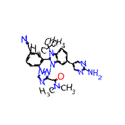 CN(C)C(=O)c1ncn(-c2ccc(C#N)cc2-c2nc3cc(-c4cnc(N)nc4)ccc3n2C(C)(C)C)n1